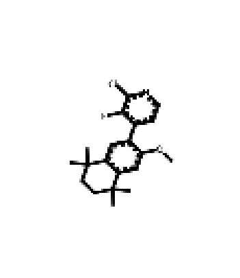 COc1cc2c(cc1-c1ccnc(Cl)c1F)C(C)(C)CCC2(C)C